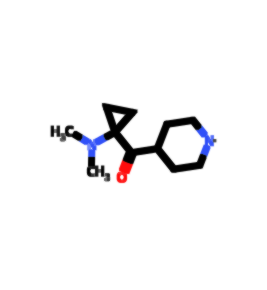 CN(C)C1(C(=O)C2CC[N]CC2)CC1